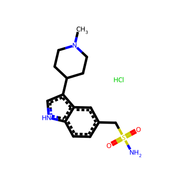 CN1CCC(c2c[nH]c3ccc(CS(N)(=O)=O)cc23)CC1.Cl